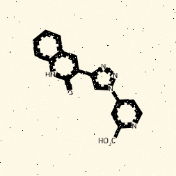 O=C(O)c1cc(-n2cc(-c3cc4ccccc4[nH]c3=O)nn2)ccn1